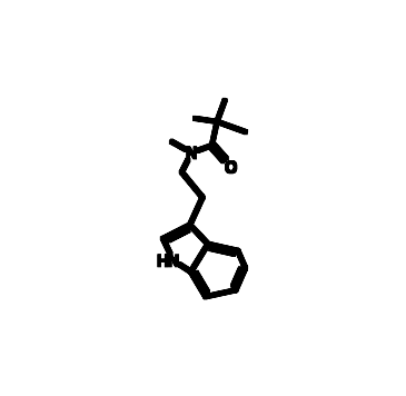 CN(CCc1c[nH]c2ccccc12)C(=O)C(C)(C)C